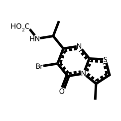 Cc1csc2nc(C(C)NC(=O)O)c(Br)c(=O)n12